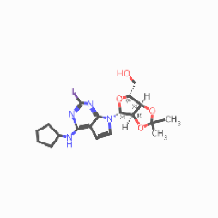 CC1(C)O[C@@H]2[C@H](O1)[C@@H](CO)O[C@H]2n1ccc2c(NC3CCCC3)nc(I)nc21